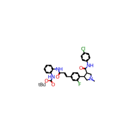 CN1CC(C(=O)Nc2ccc(Cl)cc2)C(c2ccc(C=CC(=O)Nc3ccccc3NC(=O)OC(C)(C)C)cc2F)C1